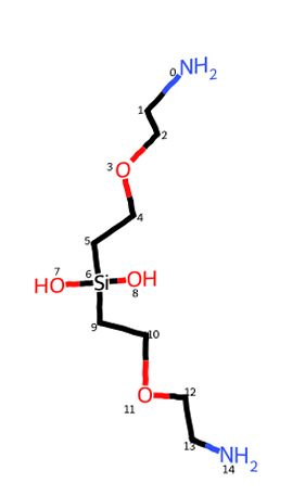 NCCOCC[Si](O)(O)CCOCCN